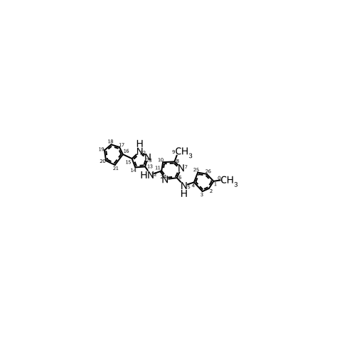 Cc1ccc(Nc2nc(C)cc(Nc3cc(-c4ccccc4)[nH]n3)n2)cc1